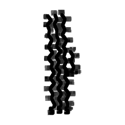 CCCCCCCCCCCCCCCCCC[S-].CCCCCCCCCCCCCCCCCC[S-].CCCCCCCCCCCCCCCCCC[S-].CCC[CH2][Sn+3]